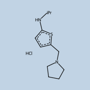 CC(C)Nc1ccc(CN2CCCC2)s1.Cl